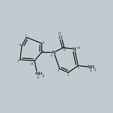 Nc1ccn(-c2ccccc2N)c(=O)n1